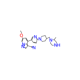 CCOc1cc(-c2ccc(N3CCC(CN4CCNCC4C)CC3)nc2)c2c(C#N)cnn2c1